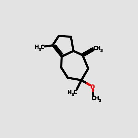 C=C1CC(C)(OC)CCC2=C(C)CCC12